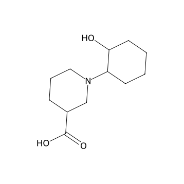 O=C(O)C1CCCN(C2CCCCC2O)C1